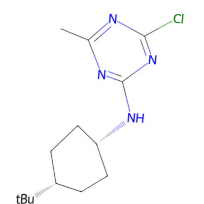 Cc1nc(Cl)nc(N[C@H]2CC[C@@H](C(C)(C)C)CC2)n1